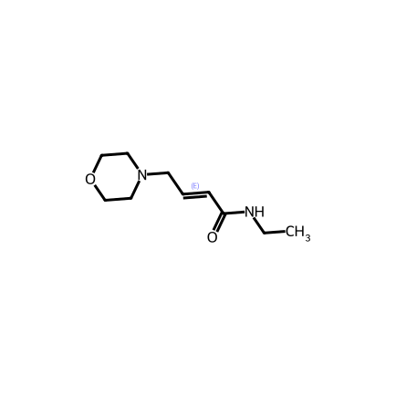 CCNC(=O)/C=C/CN1CCOCC1